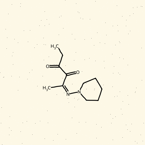 CCC(=O)C(=O)C(C)=NN1CCCCC1